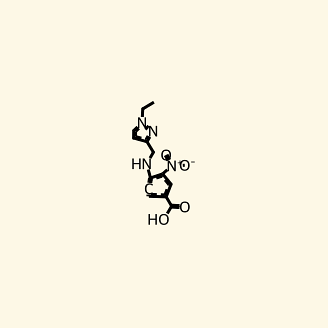 CCn1ccc(CNc2ccc(C(=O)O)cc2[N+](=O)[O-])n1